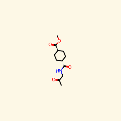 COC(=O)[C@H]1CC[C@H](C(=O)NCC(C)=O)CC1